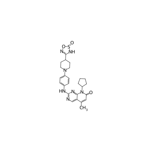 Cc1cc(=O)n(C2CCCC2)c2nc(Nc3ccc(N4CCC(C5=NOS(=O)N5)CC4)cc3)ncc12